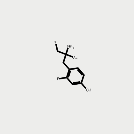 CC(=O)C(N)(CF)Cc1ccc(O)cc1F